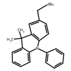 CC(C)(C)Cc1ccc2c(c1)C(C)(C)c1ccccc1N2c1ccccc1